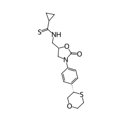 O=C1OC(CNC(=S)C2CC2)CN1c1ccc([C@H]2COCCS2)cc1